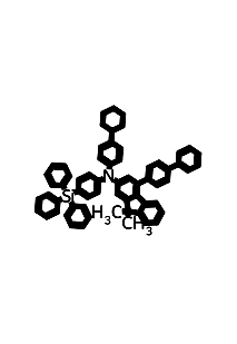 CC1(C)c2ccccc2-c2c(-c3ccc(-c4ccccc4)cc3)cc(N(c3ccc(C4CCCCC4)cc3)c3ccc([Si](c4ccccc4)(c4ccccc4)c4ccccc4)cc3)cc21